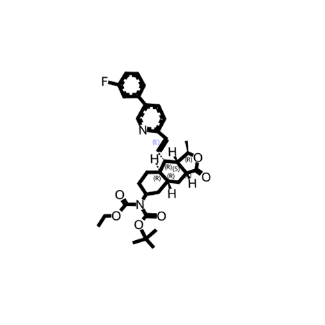 CCOC(=O)N(C(=O)OC(C)(C)C)C1CC[C@@H]2[C@@H](C1)C[C@H]1C(=O)O[C@H](C)[C@H]1[C@H]2/C=C/c1ccc(-c2cccc(F)c2)cn1